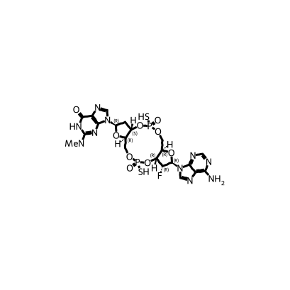 CNc1nc2c(ncn2[C@H]2C[C@@H]3OP(=O)(S)OC[C@H]4O[C@@H](n5cnc6c(N)ncnc65)[C@H](F)[C@@H]4OP(=O)(S)OC[C@H]3O2)c(=O)[nH]1